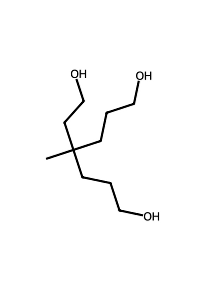 CC(CCO)(CCCO)CCCO